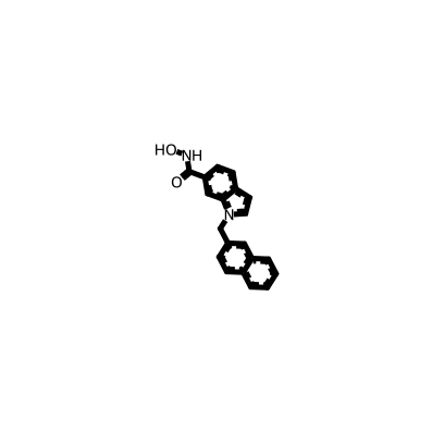 O=C(NO)c1ccc2ccn(Cc3ccc4ccccc4c3)c2c1